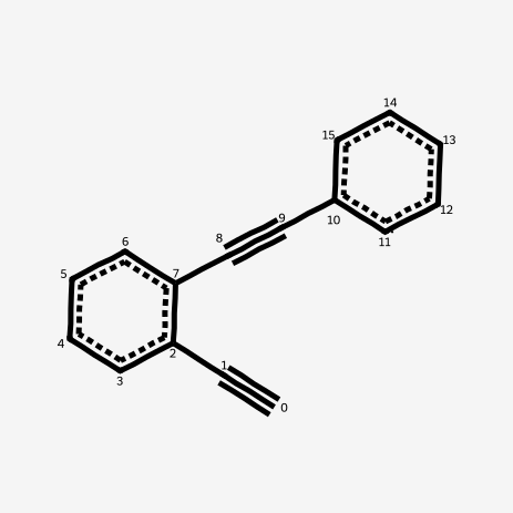 C#Cc1ccccc1C#Cc1[c]cccc1